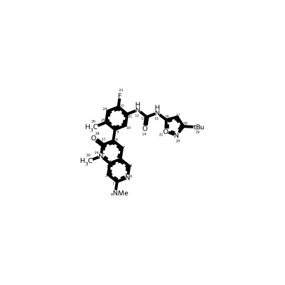 CNc1cc2c(cn1)cc(-c1cc(NC(=O)Nc3cc(C(C)(C)C)no3)c(F)cc1C)c(=O)n2C